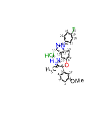 COc1cccc(C(Oc2ccc3c(cnn3-c3ccc(F)cc3)c2)C(C)N)c1.Cl